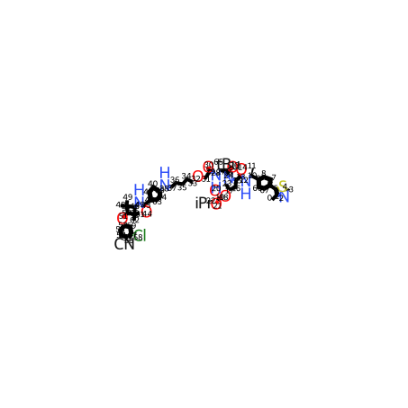 Cc1ncsc1-c1ccc([C@H](C)NC(=O)C2CC(OC(=O)OC(C)C)CN2C(=O)C(NC(=O)COCCCCCNc2ccc(C(=O)NC3C(C)(C)C(Oc4ccc(C#N)c(Cl)c4)C3(C)C)cc2)C(C)(C)C)cc1